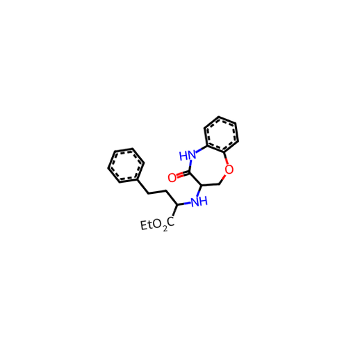 CCOC(=O)C(CCc1ccccc1)NC1COc2ccccc2NC1=O